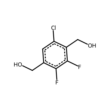 OCc1cc(Cl)c(CO)c(F)c1F